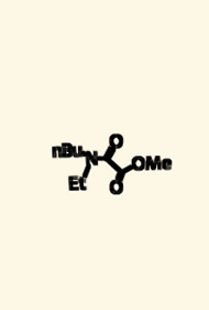 CCCCN(CC)C(=O)C(=O)OC